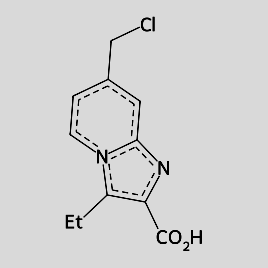 CCc1c(C(=O)O)nc2cc(CCl)ccn12